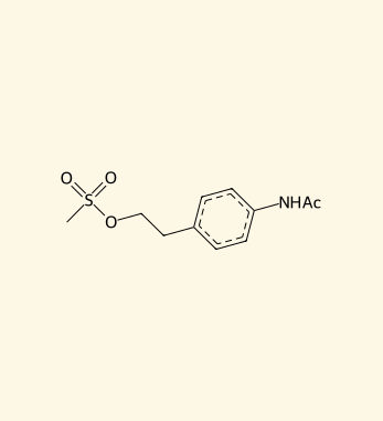 CC(=O)Nc1ccc(CCOS(C)(=O)=O)cc1